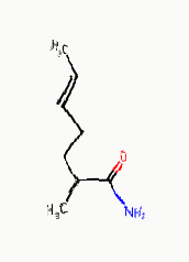 C/C=C/CCC(C)C(N)=O